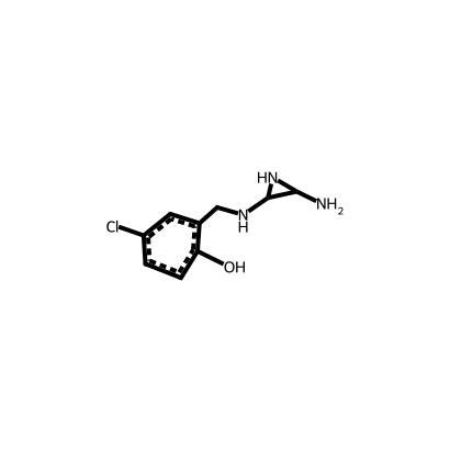 NC1NC1NCc1cc(Cl)ccc1O